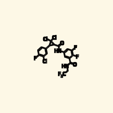 O=C(NCC(F)(F)F)c1cc(NC(=O)C2C(c3ccc(F)c(Cl)c3)C2(Cl)Cl)cc(F)c1F